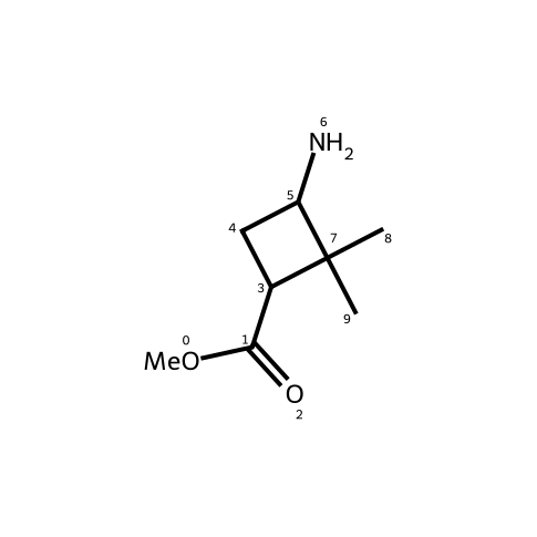 COC(=O)C1CC(N)C1(C)C